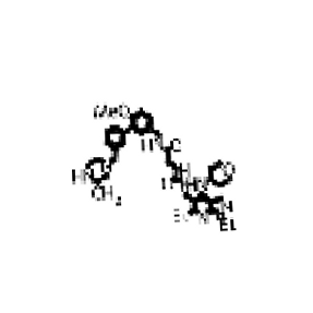 CCc1nc2c(cnn2CC)c(NC2CCOCC2)c1CNC(=O)CCC(=O)NCc1ccc(OC)c(-c2cccc(CN3CCN[C@H](C)C3)c2)c1